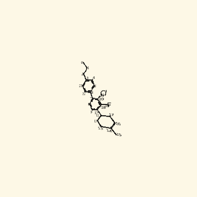 CCCc1ccc(-c2ccc(C3CCC(C)CC3)c(F)c2Cl)cc1